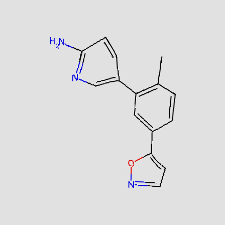 Cc1ccc(-c2ccno2)cc1-c1ccc(N)nc1